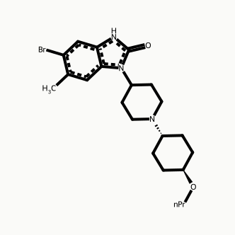 CCCO[C@H]1CC[C@H](N2CCC(n3c(=O)[nH]c4cc(Br)c(C)cc43)CC2)CC1